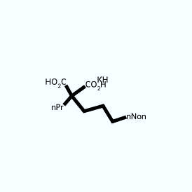 CCCCCCCCCCCCC(CCC)(C(=O)O)C(=O)O.[KH]